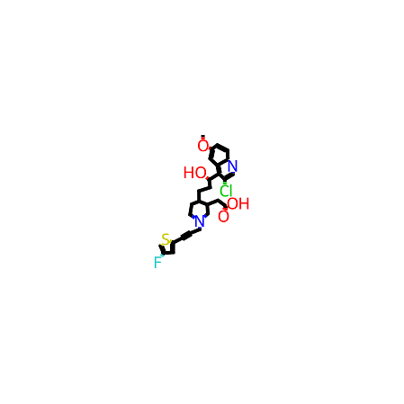 COc1ccc2ncc(Cl)c(C(O)CCC3CCN(CC#Cc4cc(F)cs4)CC3CC(=O)O)c2c1